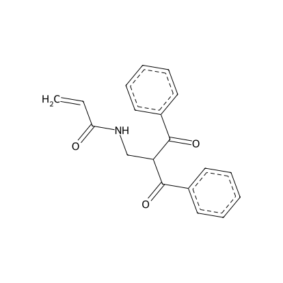 C=CC(=O)NCC(C(=O)c1ccccc1)C(=O)c1ccccc1